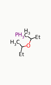 CCC(C)OC(C)CC.P